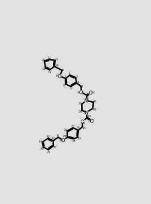 O=C(OCc1ccc(OCc2ccccc2)cc1)N1CCN(C(=O)OCc2ccc(OCc3ccccc3)cc2)CC1